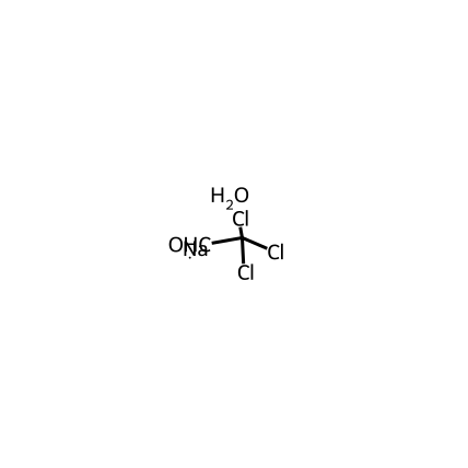 O.O=CC(Cl)(Cl)Cl.[Na]